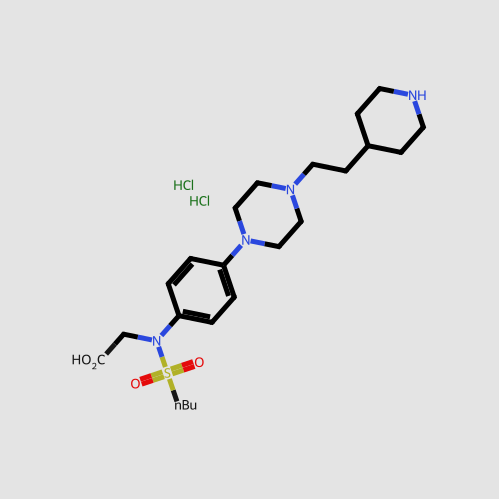 CCCCS(=O)(=O)N(CC(=O)O)c1ccc(N2CCN(CCC3CCNCC3)CC2)cc1.Cl.Cl